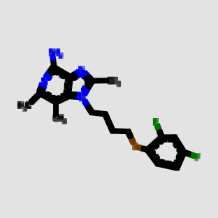 Cc1nc(N)c2nc(C)n(CCCCSc3ccc(F)cc3F)c2c1C